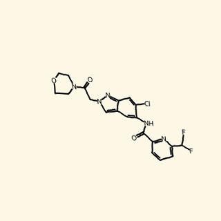 O=C(Nc1cc2cn(CC(=O)N3CCOCC3)nc2cc1Cl)c1cccc(C(F)F)n1